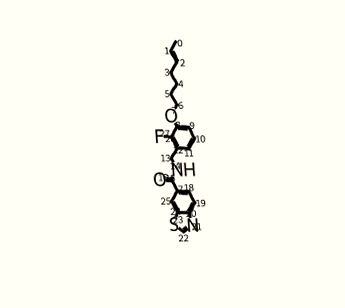 CC=CCCCCOc1cccc(CNC(=O)c2ccc3ncsc3c2)c1F